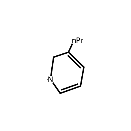 CCCC1=CC=C[N]C1